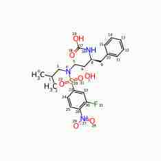 CC(C)CN(C[C@@H](O)[C@H](Cc1ccccc1)NC(=O)O)S(=O)(=O)c1ccc([N+](=O)[O-])c(F)c1